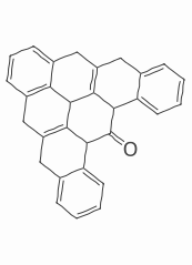 O=C1C2C3=C(Cc4ccccc42)Cc2cccc4c2C3C2=C(Cc3ccccc3C12)C4